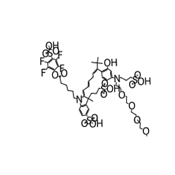 COCCOCCOCCOCCN(CCCS(=O)(=O)O)c1ccc(/C(=C\C/C=C/C=C2/N(CCCCCC(=O)Oc3c(F)c(F)c(S(=O)(=O)O)c(F)c3F)c3ccc(S(=O)(=O)O)cc3C2(C)CCCS(=O)(=O)O)C(C)(C)C)c(O)c1